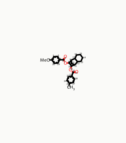 COc1ccc(C(=O)OC2C3CC(C4CCCCC43)C2OC(=O)c2ccc(C)cc2)cc1